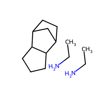 C1CC2C3CCC(C3)C2C1.CCN.CCN